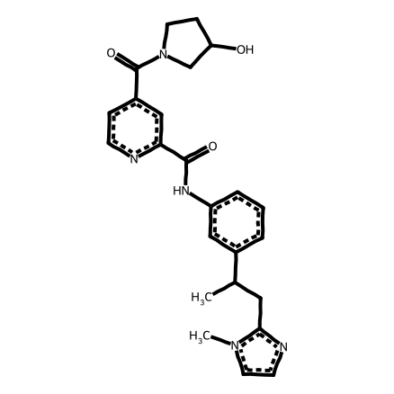 CC(Cc1nccn1C)c1cccc(NC(=O)c2cc(C(=O)N3CCC(O)C3)ccn2)c1